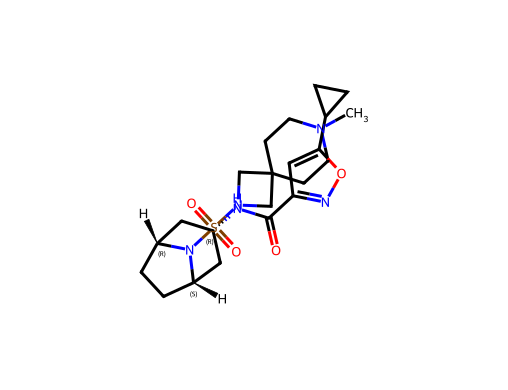 CN1CCC2(CC1)CN(S(=O)(=O)N1[C@@H]3CC[C@H]1C[C@@H](NC(=O)c1cc(C4CC4)on1)C3)C2